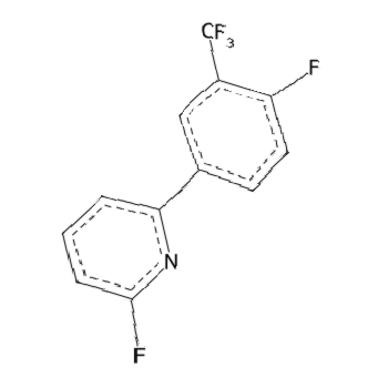 Fc1cccc(-c2ccc(F)c(C(F)(F)F)c2)n1